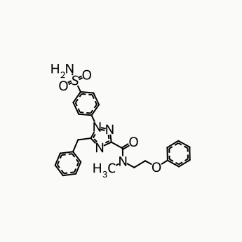 CN(CCOc1ccccc1)C(=O)c1nc(Cc2ccccc2)n(-c2ccc(S(N)(=O)=O)cc2)n1